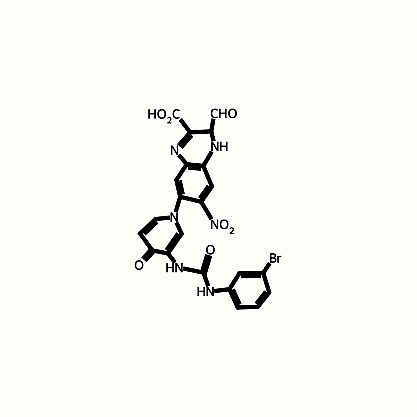 O=CC1Nc2cc([N+](=O)[O-])c(-n3ccc(=O)c(NC(=O)Nc4cccc(Br)c4)c3)cc2N=C1C(=O)O